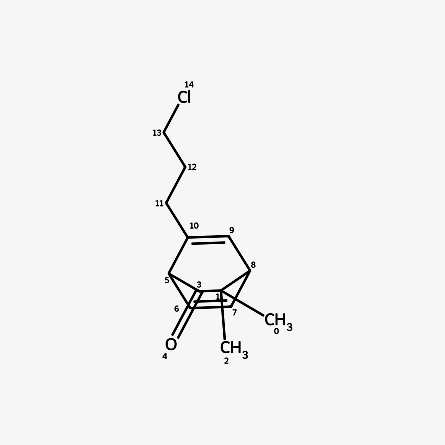 CC1(C)C(=O)C2C=CC1C=C2CCCCl